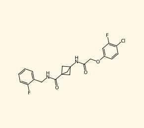 O=C(COc1ccc(Cl)c(F)c1)NC12CC(C(=O)NCc3ccccc3F)(C1)C2